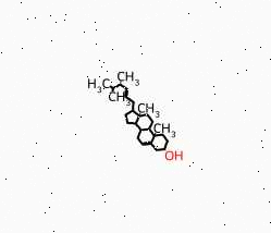 CC(C)[C@H](C)/C=C/CC1CCC2C3CC=C4C[C@@H](O)CC[C@]4(C)C3CC[C@]12C